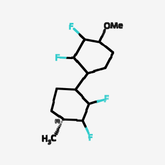 COC1CCC(C2CC[C@@H](C)C(F)C2F)C(F)C1F